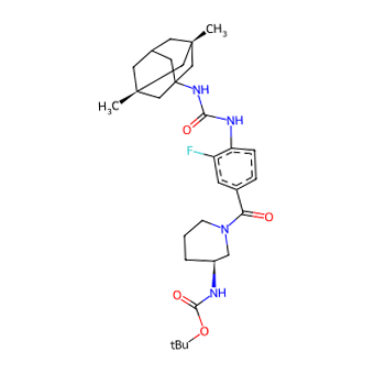 CC(C)(C)OC(=O)N[C@H]1CCCN(C(=O)c2ccc(NC(=O)NC34CC5C[C@@](C)(C3)C[C@](C)(C5)C4)c(F)c2)C1